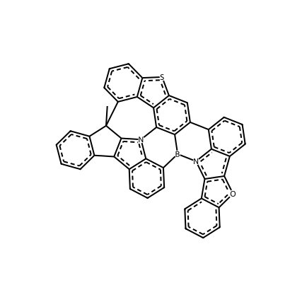 CC12c3ccccc3-c3c1n1c4c(cccc34)B3c4c(cc5sc6cccc2c6c5c4-1)-c1cccc2c4oc5ccccc5c4n3c12